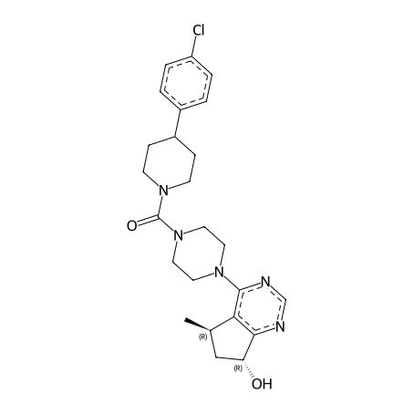 C[C@@H]1C[C@@H](O)c2ncnc(N3CCN(C(=O)N4CCC(c5ccc(Cl)cc5)CC4)CC3)c21